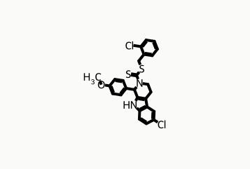 COc1ccc(C2c3[nH]c4ccc(Cl)cc4c3CCN2C(=S)SCc2ccccc2Cl)cc1